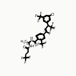 C[C@H](NC(=O)CCC(F)(F)F)NC(=O)c1ccc(/C(F)=C/C(c2cc(Cl)cc(C(F)(F)F)c2)C(F)(F)F)cc1C(F)(F)F